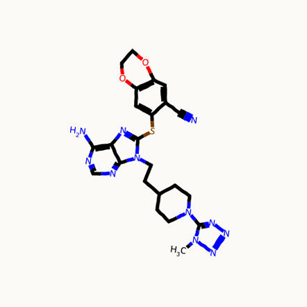 Cn1nnnc1N1CCC(CCn2c(Sc3cc4c(cc3C#N)OCCO4)nc3c(N)ncnc32)CC1